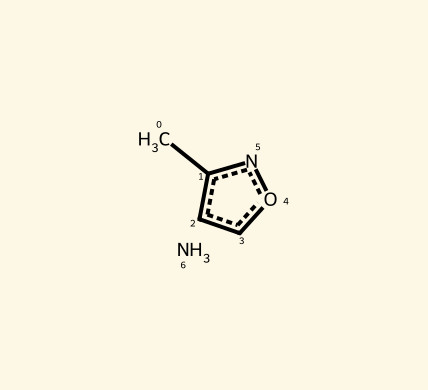 Cc1ccon1.N